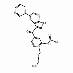 CCCCc1ccc(C(=O)c2c[nH]c3ncc(-c4cccnc4)cc23)cc1NC(N)=O